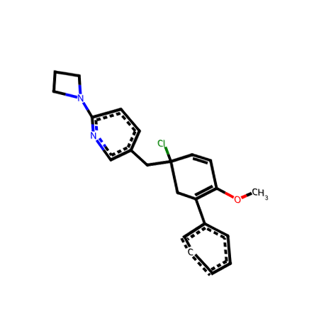 COC1=C(c2ccccc2)CC(Cl)(Cc2ccc(N3CCC3)nc2)C=C1